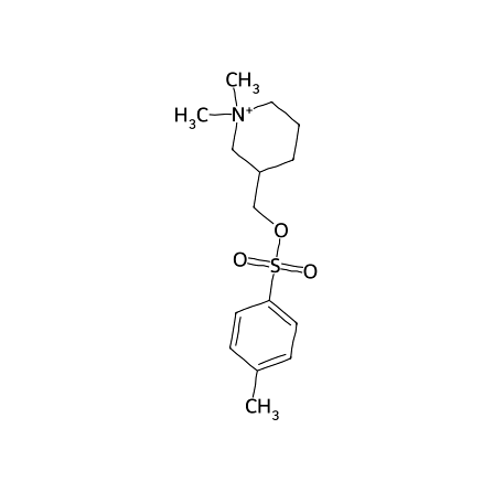 Cc1ccc(S(=O)(=O)OCC2CCC[N+](C)(C)C2)cc1